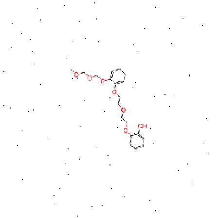 COCOCOC1=CCCC=C1OCCOCCOc1ccccc1O